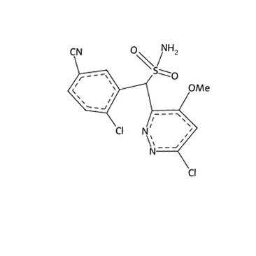 COc1cc(Cl)nnc1C(c1cc(C#N)ccc1Cl)S(N)(=O)=O